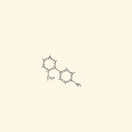 Nc1ccc(-c2cnccc2C(=O)O)cn1